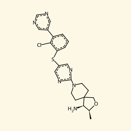 C[C@@H]1OCC2(CCN(c3ncc(Sc4cccc(-c5cncnc5)c4Cl)cn3)CC2)[C@@H]1N